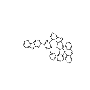 c1ccc(-c2nc(-c3ccc4c(c3)oc3ccccc34)nc(-c3cccc4oc5cc6c(cc5c34)-c3ccccc3C63c4ccccc4Oc4ccccc43)n2)cc1